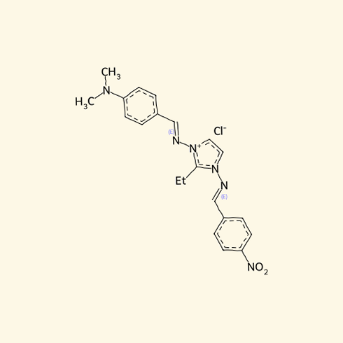 CCc1n(/N=C/c2ccc([N+](=O)[O-])cc2)cc[n+]1/N=C/c1ccc(N(C)C)cc1.[Cl-]